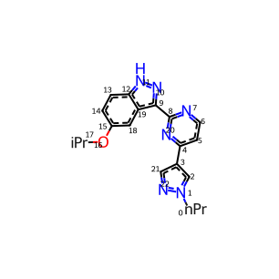 CCCn1cc(-c2ccnc(-c3n[nH]c4ccc(OC(C)C)cc34)n2)cn1